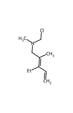 C=C/C(CC)=C(\C)CN(C)CCl